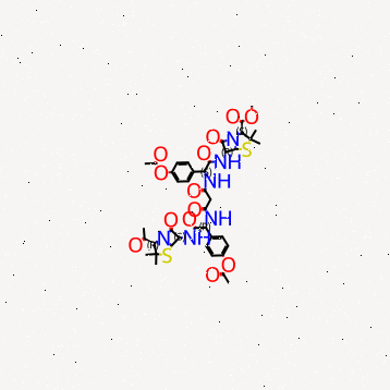 COC(=O)[C@@H]1N2C(=O)[C@@H](NC(=O)[C@@H](NC(=O)CC(=O)N[C@@H](C(=O)N[C@H]3C(=O)N4C3SC(C)(C)[C@H]4C(C)=O)c3ccc(OC(C)=O)cc3)c3ccc(OC(C)=O)cc3)C2SC1(C)C